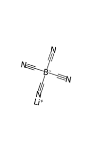 N#C[B-](C#N)(C#N)C#N.[Li+]